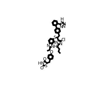 CCCCc1nc(Cl)c(C(Cc2ccc(-c3ccccc3-c3nnn[nH]3)cc2)Sc2ccc3nc(C(C)Oc4ccc(CC5SC(=O)NC5=O)cc4)[nH]c3c2)[nH]1